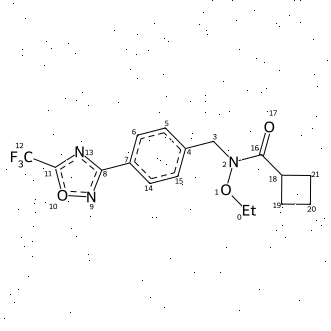 CCON(Cc1ccc(-c2noc(C(F)(F)F)n2)cc1)C(=O)C1CCC1